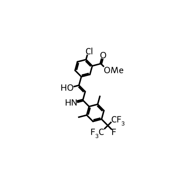 COC(=O)c1cc(/C(O)=C/C(=N)c2c(C)cc(C(F)(C(F)(F)F)C(F)(F)F)cc2C)ccc1Cl